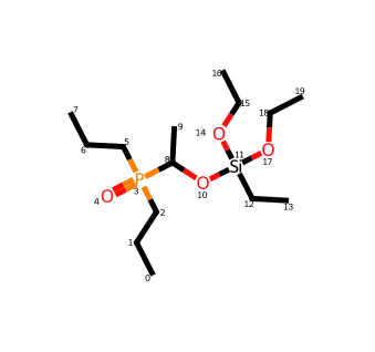 CCCP(=O)(CCC)C(C)O[Si](CC)(OCC)OCC